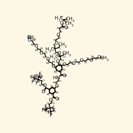 CCC(C)(COCCOCCC(=O)OC(C)(C)C)COC(C)(CC)COc1c(OCCOCCOCCOCCOC)cc(C(=O)NCCOc2cc(C(=O)OCCC(F)(C(F)(F)F)C(F)(F)F)cc(C(=O)OCCC(F)(C(F)(F)F)C(F)(F)F)c2)cc1OCCOCCOCCOCCOC